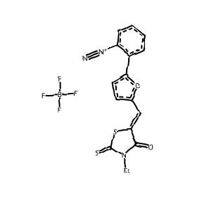 CCN1C(=O)/C(=C/c2ccc(-c3ccccc3[N+]#N)o2)SC1=S.F[B-](F)(F)F